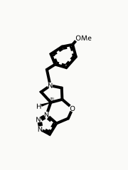 COc1ccc(CN2CC3OCc4cnnn4[C@@H]3C2)cc1